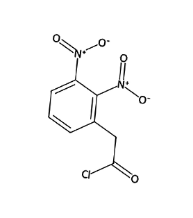 O=C(Cl)Cc1cccc([N+](=O)[O-])c1[N+](=O)[O-]